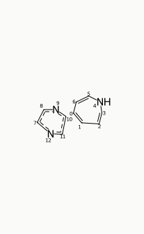 C1=CC=CNC=C1.c1cnccn1